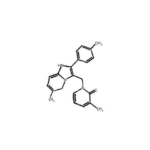 CC1=CC=C2NC(c3ccc(C)cc3)=C(Cn3cccc(C)c3=O)N2C1